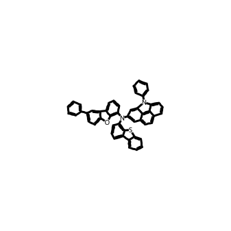 c1ccc(-c2ccc3oc4c(N(c5cc6ccc7cccc8c7c6c(c5)n8-c5ccccc5)c5cccc6c5sc5ccccc56)cccc4c3c2)cc1